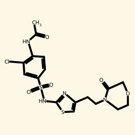 CC(=O)Nc1ccc(S(=O)(=O)Nc2nc(CCN3CCOCC3=O)cs2)cc1Cl